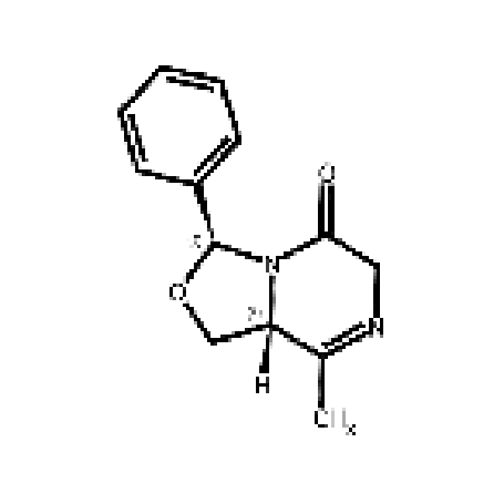 CC1=NCC(=O)N2[C@H]1CO[C@H]2c1ccccc1